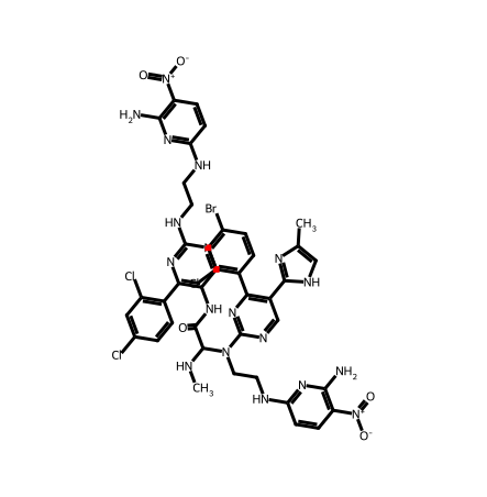 CNC(C(=O)Nc1cnc(NCCNc2ccc([N+](=O)[O-])c(N)n2)nc1-c1ccc(Cl)cc1Cl)N(CCNc1ccc([N+](=O)[O-])c(N)n1)c1ncc(-c2nc(C)c[nH]2)c(-c2ccc(Br)cc2Cl)n1